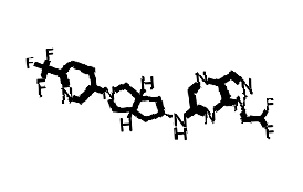 FC(F)Cn1ncc2ncc(N[C@@H]3C[C@@H]4CN(c5ccc(C(F)(F)F)nc5)C[C@@H]4C3)nc21